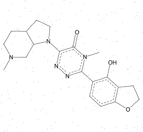 CN1CCC2CCN(c3nnc(-c4ccc5c(c4O)CCO5)n(C)c3=O)C2C1